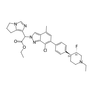 CCOC(=O)C(c1ncn2c1CCC2)n1cc2c(C)cc(-c3ccc([C@@H]4CCN(CC)C[C@H]4F)cc3)c(Cl)c2n1